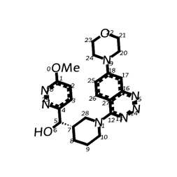 COc1ccc(C(O)[C@H]2CCCN(c3nnnc4cc(N5CCOCC5)ccc34)C2)nn1